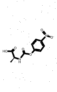 C[C@H](NC(=O)Oc1ccc([N+](=O)[O-])cc1)C(=O)O